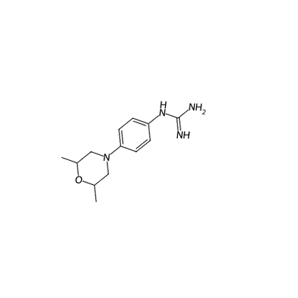 CC1CN(c2ccc(NC(=N)N)cc2)CC(C)O1